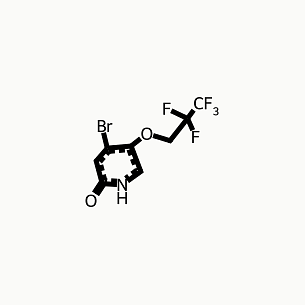 O=c1cc(Br)c(OCC(F)(F)C(F)(F)F)c[nH]1